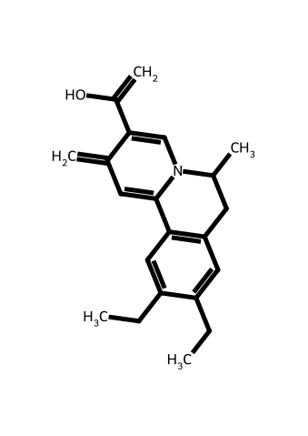 C=C(O)C1=CN2C(=CC1=C)c1cc(CC)c(CC)cc1CC2C